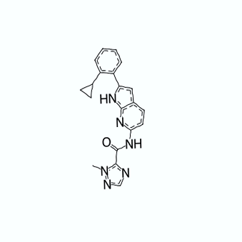 Cn1ncnc1C(=O)Nc1ccc2cc(-c3ccccc3C3CC3)[nH]c2n1